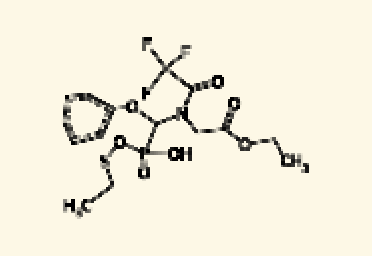 CCOC(=O)CN(C(=O)C(F)(F)F)C(Oc1ccccc1)P(=O)(O)OSCC